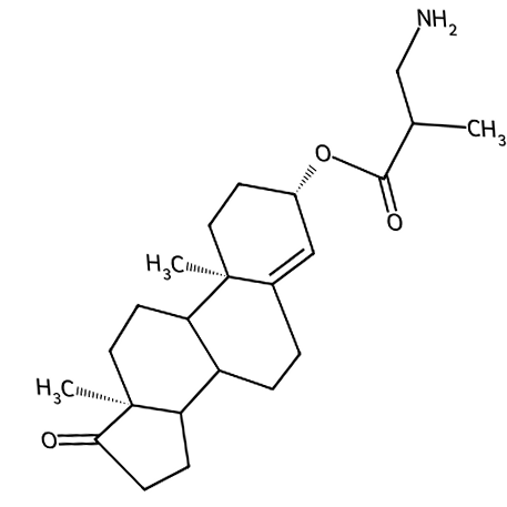 CC(CN)C(=O)O[C@@H]1C=C2CCC3C(CC[C@]4(C)C(=O)CCC34)[C@@]2(C)CC1